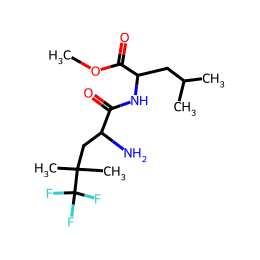 COC(=O)C(CC(C)C)NC(=O)C(N)CC(C)(C)C(F)(F)F